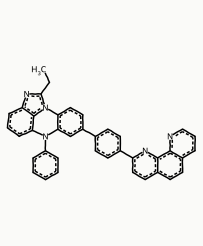 CCc1nc2cccc3c2n1-c1ccc(-c2ccc(-c4ccc5ccc6cccnc6c5n4)cc2)cc1N3c1ccccc1